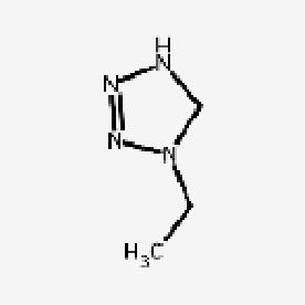 CCN1CNN=N1